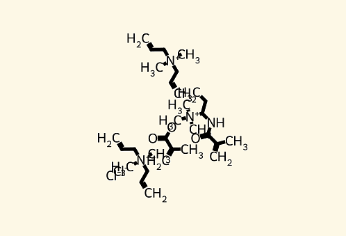 C=C(C)C(=O)NC(CC)[N+](C)(C)C.C=C(C)C(=O)[O-].C=CC[N+](C)(C)CC=C.C=CC[N+](C)(C)CC=C.[Cl-].[Cl-]